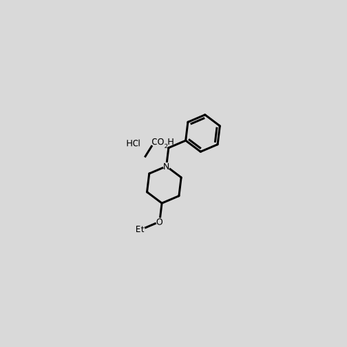 CC(=O)O.CCOC1CCN(Cc2ccccc2)CC1.Cl